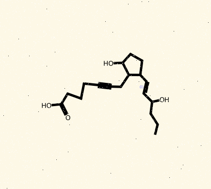 CCCC(O)/C=C/C1CCC(O)C1CC#CCCCC(=O)O